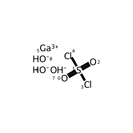 O=S(=O)(Cl)Cl.[Ga+3].[OH-].[OH-].[OH-]